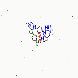 CN1CCN(c2ccc(N3c4c(ccn4S(=O)(=O)c4cc(Cl)ccc4Cl)C=NC3N)cc2)CC1